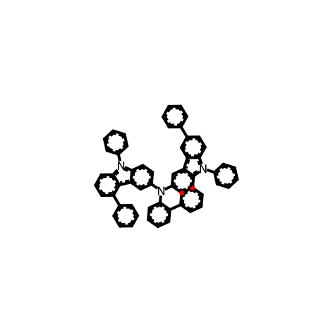 c1ccc(-c2ccc3c(c2)c2cc(N(c4ccc5c(c4)c4c(-c6ccccc6)cccc4n5-c4ccccc4)c4ccccc4-c4ccccc4)ccc2n3-c2ccccc2)cc1